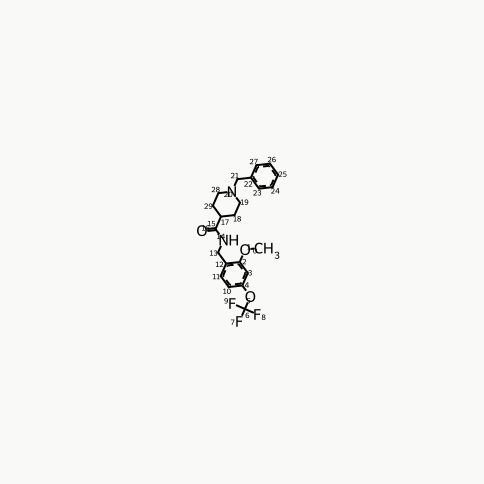 COc1cc(OC(F)(F)F)ccc1CNC(=O)C1CCN(Cc2ccccc2)CC1